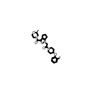 C[C@H]1CN(C(=O)c2nn(CC(=O)N3CCC(Oc4ccccc4F)CC3)c3c2CCC3)CCO1